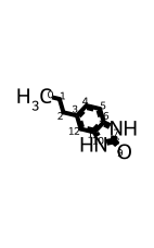 CCCc1ccc2[nH]c(=O)[nH]c2c1